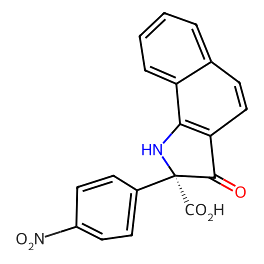 O=C(O)[C@]1(c2ccc([N+](=O)[O-])cc2)Nc2c(ccc3ccccc23)C1=O